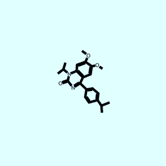 COc1cc2c(-c3ccc(C(C)C)cc3)nc(=O)n(C(C)C)c2cc1OC